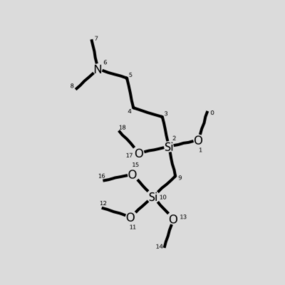 CO[Si](CCCN(C)C)(C[Si](OC)(OC)OC)OC